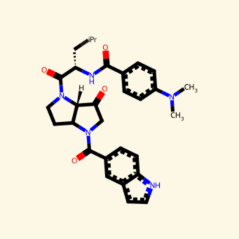 CC(C)C[C@H](NC(=O)c1ccc(N(C)C)cc1)C(=O)N1CCC2[C@H]1C(=O)CN2C(=O)c1ccc2[nH]ccc2c1